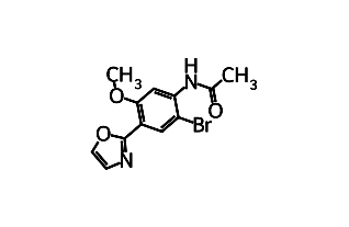 COc1cc(NC(C)=O)c(Br)cc1-c1ncco1